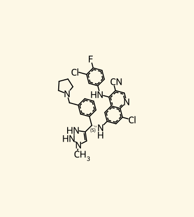 CN1C=C([C@@H](Nc2cc(Cl)c3ncc(C#N)c(Nc4ccc(F)c(Cl)c4)c3c2)c2cccc(CN3CCCC3)c2)NN1